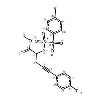 COC(=O)C(CC#Cc1ccc(Cl)cc1)NS(=O)(=O)S(=O)(=O)c1ccc(C)cc1